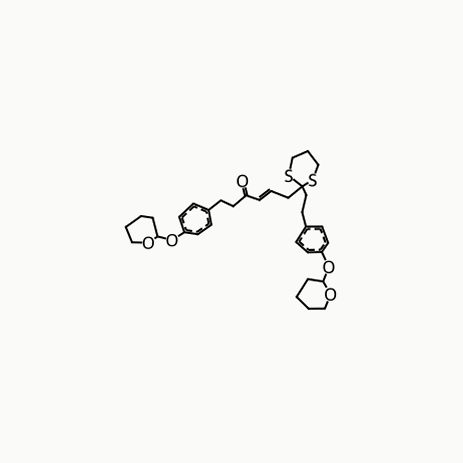 O=C(C=CCC1(CCc2ccc(OC3CCCCO3)cc2)SCCCS1)CCc1ccc(OC2CCCCO2)cc1